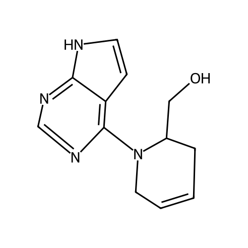 OCC1CC=CCN1c1ncnc2[nH]ccc12